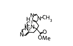 COC(=O)C(N)(Cc1cncn1C)Cc1cncn1C